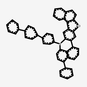 c1ccc(-c2ccc(-c3ccc(N(c4ccc(-c5ccccc5)cc4)c4cc5c(cc4-c4ccccc4)oc4ccc6ccccc6c45)cc3)cc2)cc1